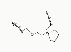 [N-]=[N+]=NCOCC[N+]1(CN=[N+]=[N-])CCCC1